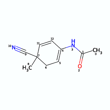 CC(=O)NC1=CCC(C)(C#N)C=C1